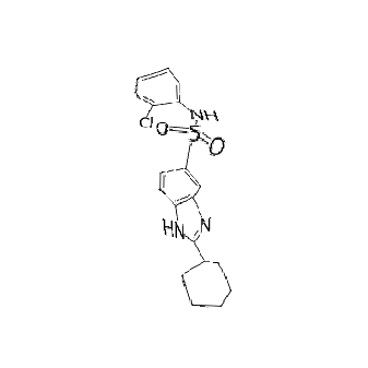 O=S(=O)(Nc1ccccc1Cl)c1ccc2[nH]c(C3CCCCC3)nc2c1